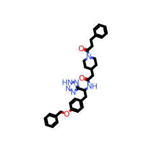 O=C(CC1CCN(C(=O)CCc2ccccc2)CC1)NC(Cc1ccc(OCc2ccccc2)cc1)c1nn[nH]n1